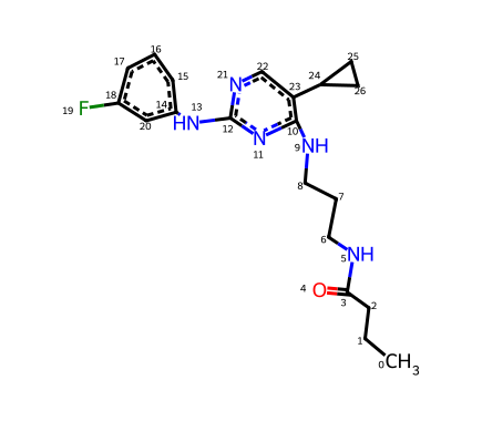 CCCC(=O)NCCCNc1nc(Nc2cccc(F)c2)ncc1C1CC1